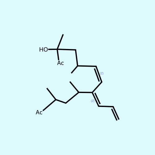 C=C/C=C(\C=C/C(C)CC(C)(O)C(C)=O)C(C)CC(C)C(C)=O